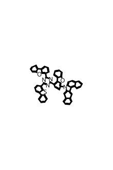 c1ccc2cc3c(cc2c1)c1c2ccccc2ccc1n3-c1ccc(-c2nc(-c3cccc4c3oc3ccccc34)nc(-c3cccc4c3sc3ccccc34)n2)c2c1oc1ccccc12